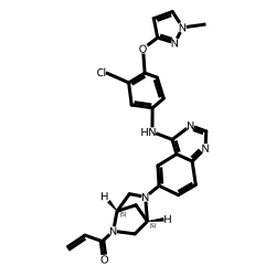 C=CC(=O)N1C[C@@H]2C[C@H]1CN2c1ccc2ncnc(Nc3ccc(Oc4ccn(C)n4)c(Cl)c3)c2c1